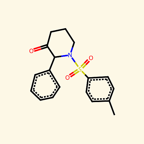 Cc1ccc(S(=O)(=O)N2CCCC(=O)C2c2ccccc2)cc1